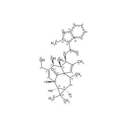 CC1=CC23C(=O)[C@@H](C=C(CO)[C@@H](O)[C@]2(O)[C@H]1OC(=O)c1c(C)nc2ccccn12)[C@H]1[C@@H](CC3C)C1(C)C